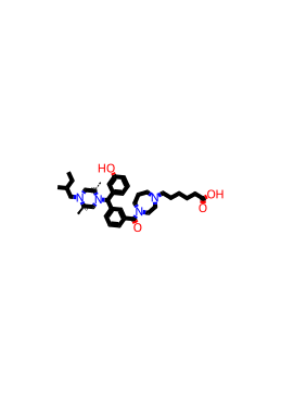 CCC(C)CN1C[C@H](C)N(C(c2cccc(O)c2)c2cccc(C(=O)N3CCCN(CCCCCC(=O)O)CC3)c2)C[C@H]1C